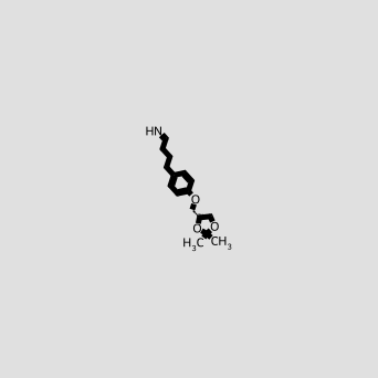 CC1(C)OC[C@@H](COc2ccc(CCCC=N)cc2)O1